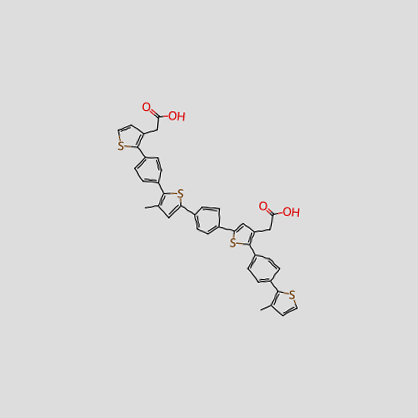 Cc1ccsc1-c1ccc(-c2sc(-c3ccc(-c4cc(C)c(-c5ccc(-c6sccc6CC(=O)O)cc5)s4)cc3)cc2CC(=O)O)cc1